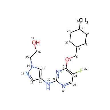 CC1CCC(COc2nc(Nc3cnn(CCO)c3)ncc2F)CC1